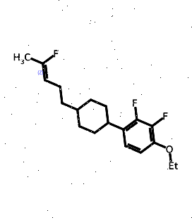 CCOc1ccc(C2CCC(CC/C=C(/C)F)CC2)c(F)c1F